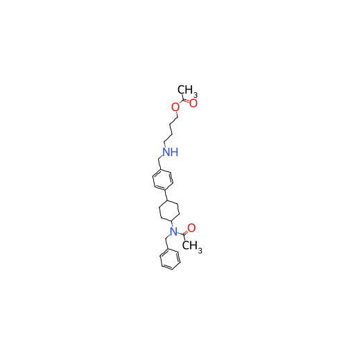 CC(=O)OCCCCNCc1ccc(C2CCC(N(Cc3ccccc3)C(C)=O)CC2)cc1